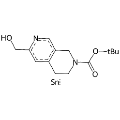 CC(C)(C)OC(=O)N1CCc2cc(CO)ncc2C1.[Sn]